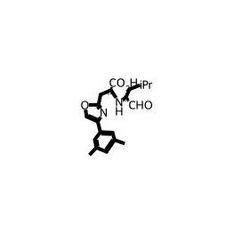 Cc1cc(C)cc(-c2coc(C[C@H](N[C@H](C=O)CC(C)C)C(=O)O)n2)c1